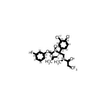 C=CC[C@@](CN(C)C(=O)CC(F)(F)F)(c1ccc(Cl)c(Cl)c1)N(C)C(=O)Oc1cccc(F)c1